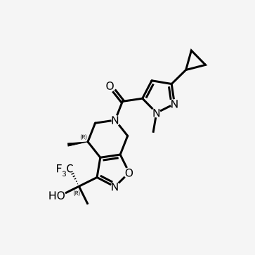 C[C@H]1CN(C(=O)c2cc(C3CC3)nn2C)Cc2onc([C@@](C)(O)C(F)(F)F)c21